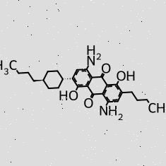 CCCCc1cc(N)c2c(c1O)C(=O)c1c(N)cc([C@H]3CC[C@H](CCCC)CC3)c(O)c1C2=O